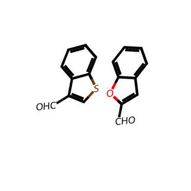 O=Cc1cc2ccccc2o1.O=Cc1csc2ccccc12